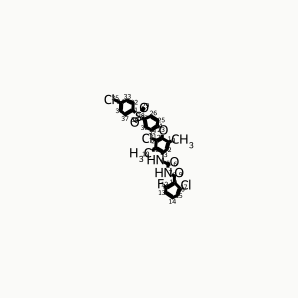 Cc1cc(NC(=O)NC(=O)c2c(F)cccc2Cl)c(C)c(Cl)c1Oc1ccc(S(=O)(=O)c2ccc(Cl)cc2)cc1